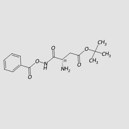 CC(C)(C)OC(=O)C[C@H](N)C(=O)NOC(=O)c1ccccc1